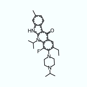 CCc1cc2c(=O)c3c4ccc(C)cc4[nH]c3n(C(C)C)c2c(F)c1N1CCN(C(C)C)CC1